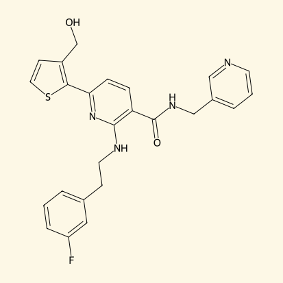 O=C(NCc1cccnc1)c1ccc(-c2sccc2CO)nc1NCCc1cccc(F)c1